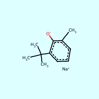 Cc1cccc(C(C)(C)C)c1[O-].[Na+]